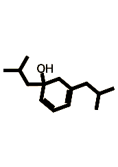 CC(C)CC1=CC=CC(O)(CC(C)C)C1